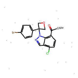 COC(=O)c1ccc(Cl)c2cnn(C3(c4ccc(Br)cc4)COC3)c12